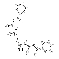 N=C(CCC(=O)SC(=O)CC(=O)c1ccccc1)SC(=O)CC(=O)c1ccccc1